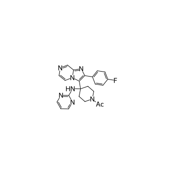 CC(=O)N1CCC(Nc2ncccn2)(c2c(-c3ccc(F)cc3)nc3cnccn23)CC1